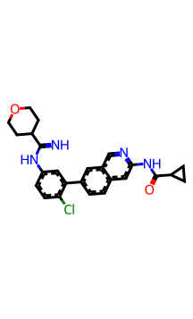 N=C(Nc1ccc(Cl)c(-c2ccc3cc(NC(=O)C4CC4)ncc3c2)c1)C1CCOCC1